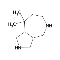 CC1(C)CCNCC2CNCC21